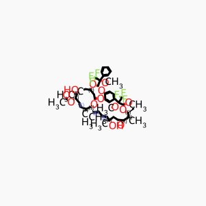 CC[C@H](OC(=O)C(OC)(c1ccccc1)C(F)(F)F)[C@@H](C)[C@H]1OC1C[C@@](C)(O)/C=C/C=C(\C)[C@H]1OC(=O)C[C@H](OC(=O)C(OC)(c2ccccc2)C(F)(F)F)CC[C@@](C)(O)[C@@H](OC(C)=O)/C=C/[C@@H]1C